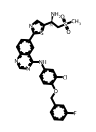 CS(=O)(=O)C[C@H](N)c1cnc(-c2ccc3ncnc(Nc4ccc(OCc5cccc(F)c5)c(Cl)c4)c3c2)s1